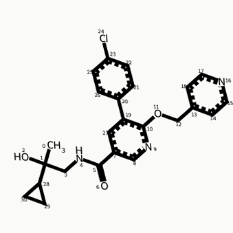 CC(O)(CNC(=O)c1cnc(OCc2ccncc2)c(-c2ccc(Cl)cc2)c1)C1CC1